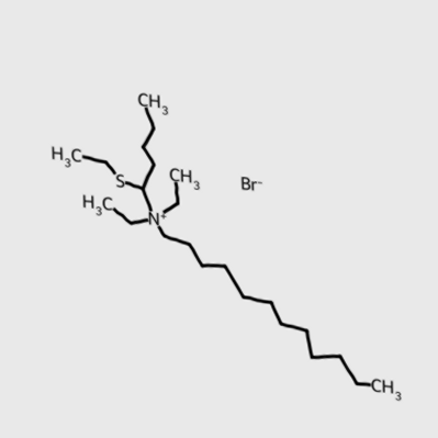 CCCCCCCCCCCC[N+](CC)(CC)C(CCCC)SCC.[Br-]